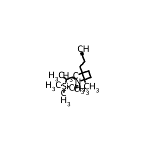 C#CCCC1(C)CCC1(C)N(C)CC(C)[Si](C)(C)C